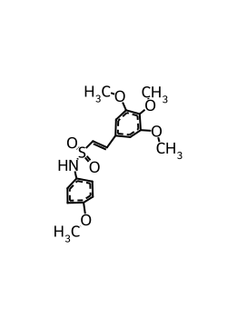 COc1ccc(NS(=O)(=O)C=Cc2cc(OC)c(OC)c(OC)c2)cc1